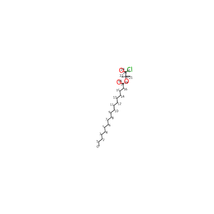 CCCCCCCCCCCCCCCCCC(=O)OC(C)(C)C(=O)Cl